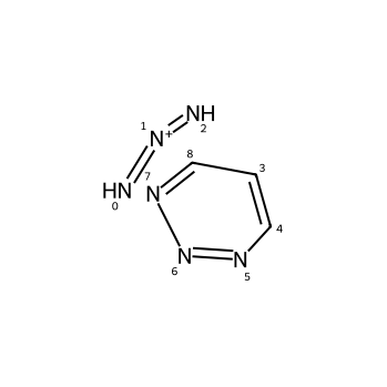 N=[N+]=N.c1cnnnc1